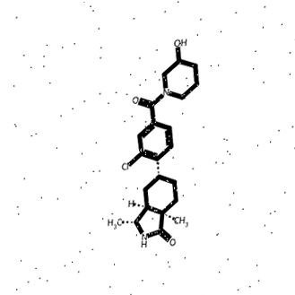 C[C@H]1NC(=O)[C@]2(C)CC[C@@H](c3ccc(C(=O)N4CCCC(O)C4)cc3Cl)C[C@H]12